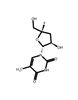 Cc1cn([C@@H]2O[C@](F)(CO)C[C@H]2O)c(=O)[nH]c1=O